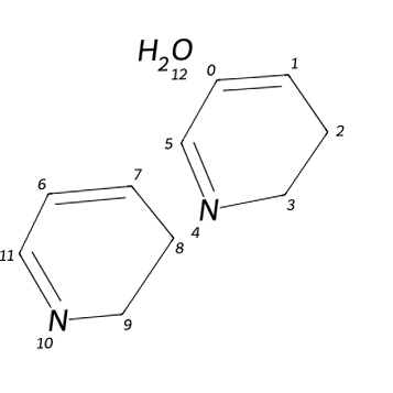 C1=CCCN=C1.C1=CCCN=C1.O